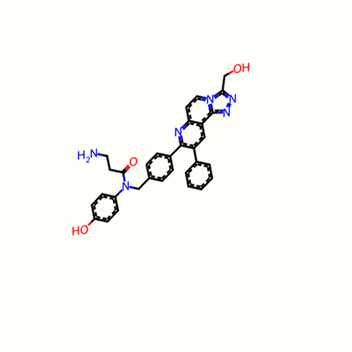 NCCC(=O)N(Cc1ccc(-c2nc3ccn4c(CO)nnc4c3cc2-c2ccccc2)cc1)c1ccc(O)cc1